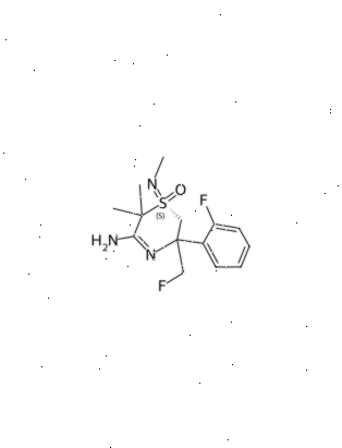 CN=[S@]1(=O)CC(CF)(c2ccccc2F)N=C(N)C1(C)C